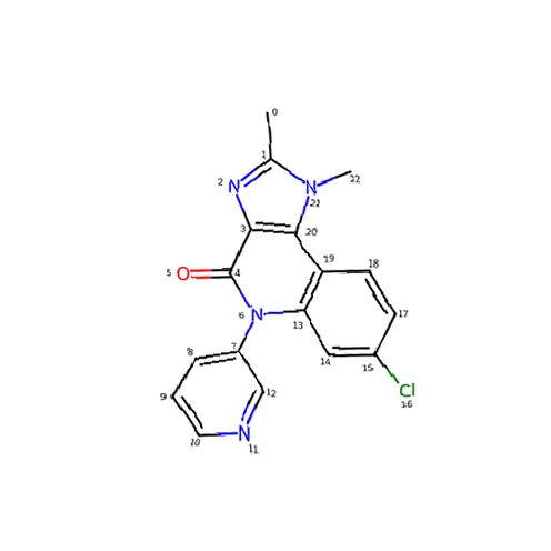 Cc1nc2c(=O)n(-c3cccnc3)c3cc(Cl)ccc3c2n1C